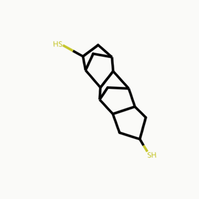 SC1CC2C(C1)C1CC2C2C3CC(S)C(C3)C12